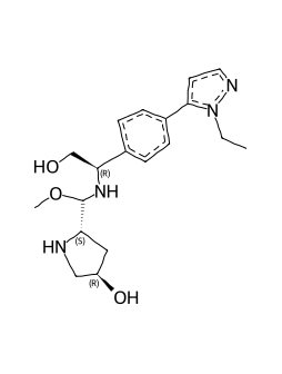 CCn1nccc1-c1ccc([C@H](CO)NC(OC)[C@@H]2C[C@@H](O)CN2)cc1